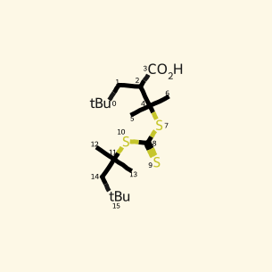 CC(C)(C)CC(C(=O)O)C(C)(C)SC(=S)SC(C)(C)CC(C)(C)C